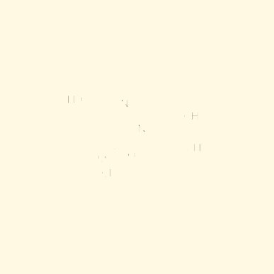 COC(=O)c1cc(C)cnc1N1CCC(C)C(C)C1